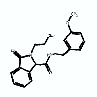 CC(C)(C)CCN1C(=O)c2ccccc2C1C(=O)NCc1cccc(OC(F)(F)F)c1